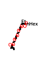 CC=C(C)C(=O)OCCOCCOCCOCCOC=C(CC)C(=O)OCCCCCC